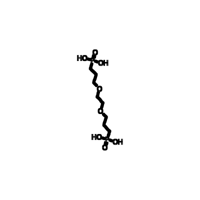 O=P(O)(O)CCCOCCOCCCP(=O)(O)O